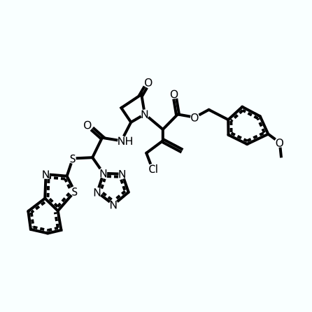 C=C(CCl)C(C(=O)OCc1ccc(OC)cc1)N1C(=O)CC1NC(=O)C(Sc1nc2ccccc2s1)n1ncnn1